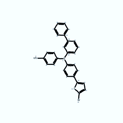 CCCc1ccc(N(c2ccc(-c3ccc(Br)s3)cc2)c2cccc(-c3ccccc3)c2)cc1